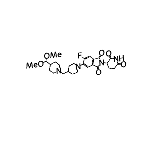 COC(OC)C1CCN(CC2CCN(c3cc4c(cc3F)C(=O)N(C3CCC(=O)NC3=O)C4=O)CC2)CC1